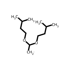 [CH2]C(OCCC(C)C)OCCC(C)C